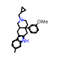 COc1cccc(C23CCN(CC4CC4)CC2Cc2c([nH]c4cc(C)ccc24)C3)c1